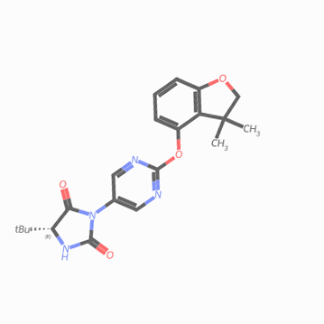 CC1(C)COc2cccc(Oc3ncc(N4C(=O)N[C@H](C(C)(C)C)C4=O)cn3)c21